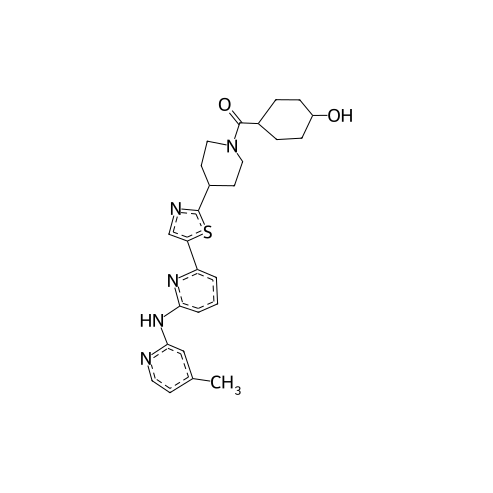 Cc1ccnc(Nc2cccc(-c3cnc(C4CCN(C(=O)C5CCC(O)CC5)CC4)s3)n2)c1